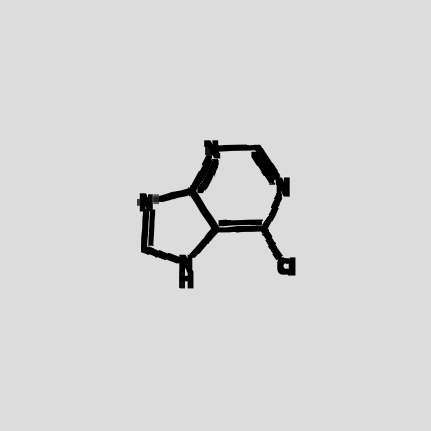 Clc1ncnc2c1NC=[N+]2